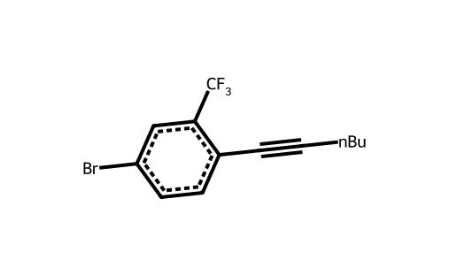 CCCCC#Cc1ccc(Br)cc1C(F)(F)F